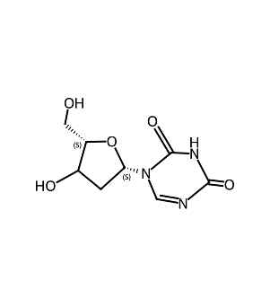 O=c1ncn([C@@H]2CC(O)[C@H](CO)O2)c(=O)[nH]1